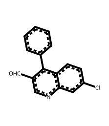 O=Cc1cnc2cc(Cl)ccc2c1-c1ccccc1